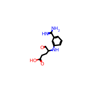 N=C(N)c1cccc(NC(C=O)CCC(=O)O)c1